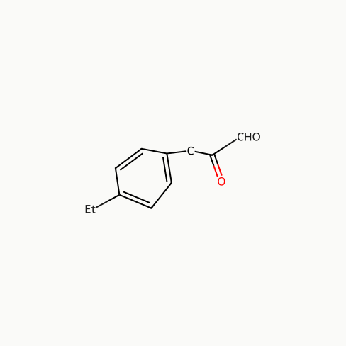 CCc1ccc(CC(=O)C=O)cc1